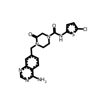 Nc1ncnc2cc(CN3CCN(C(=O)Nc4ccc(Cl)s4)CC3=O)ccc12